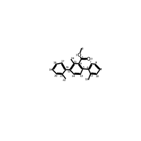 COC(=O)c1c(-c2ccccc2C)ccc(-c2ccccc2C)c1C